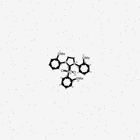 COc1ccccc1N1CCN(c2ccccc2OC)[C]1=[Ru-3]([Cl])([Cl])[c]1ccccc1OC